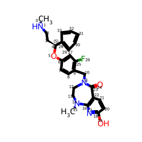 CNCC[C@H](Oc1ccc(CN2CCN(C)c3nc(O)ccc3C2=O)c(F)c1)c1ccccc1